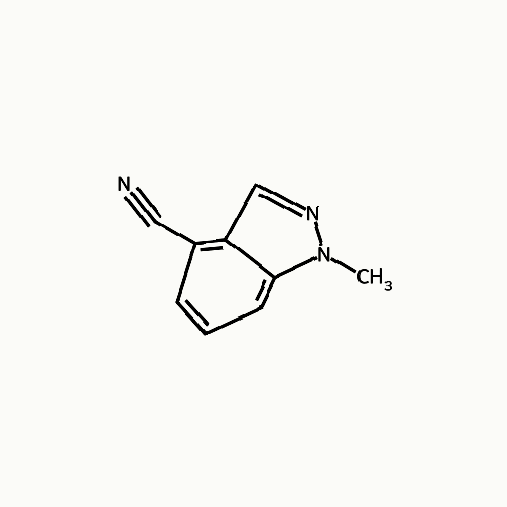 Cn1ncc2c(C#N)cccc21